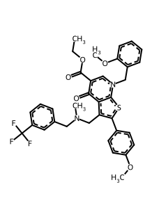 CCOC(=O)c1cn(Cc2ccccc2OC)c2sc(-c3ccc(OC)cc3)c(CN(C)Cc3cccc(C(F)(F)F)c3)c2c1=O